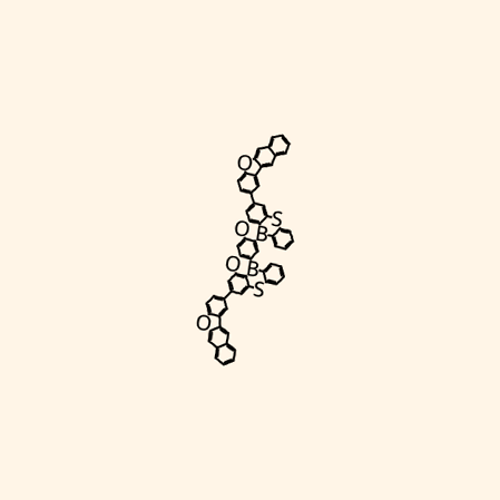 c1ccc2c(c1)Sc1cc(-c3ccc4oc5cc6ccccc6cc5c4c3)cc3c1B2c1cc2c(cc1O3)Oc1cc(-c3ccc4oc5cc6ccccc6cc5c4c3)cc3c1B2c1ccccc1S3